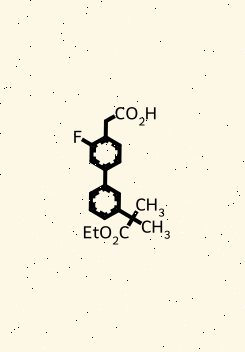 CCOC(=O)C(C)(C)c1cccc(-c2ccc(CC(=O)O)c(F)c2)c1